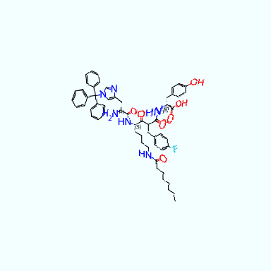 CCCCCCCC(=O)NCCCC[C@H](NC(=O)[C@@H](N)Cc1cn(C(c2ccccc2)(c2ccccc2)c2ccccc2)cn1)C(=O)C(Cc1ccc(F)cc1)C(=O)N[C@H](Cc1ccc(O)cc1)C(=O)O